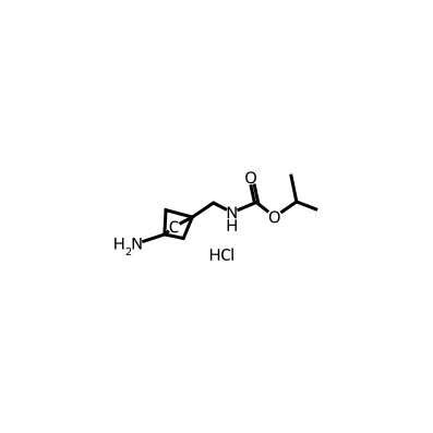 CC(C)OC(=O)NCC12CC(N)(C1)C2.Cl